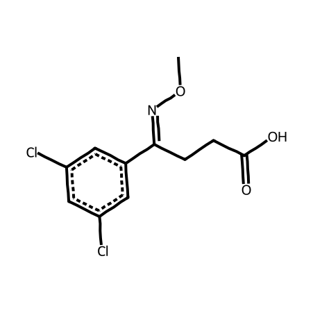 CON=C(CCC(=O)O)c1cc(Cl)cc(Cl)c1